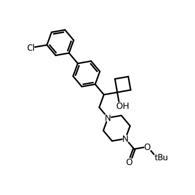 CC(C)(C)OC(=O)N1CCN(CC(c2ccc(-c3cccc(Cl)c3)cc2)C2(O)CCC2)CC1